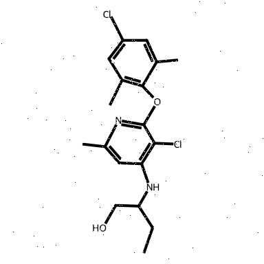 CCC(CO)Nc1cc(C)nc(Oc2c(C)cc(Cl)cc2C)c1Cl